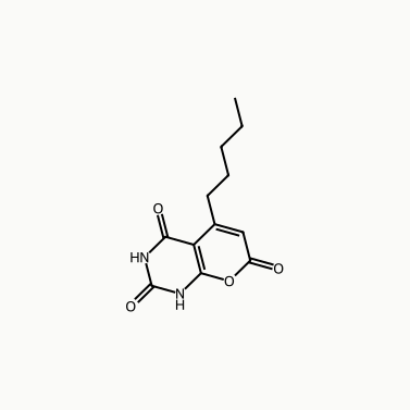 CCCCCc1cc(=O)oc2[nH]c(=O)[nH]c(=O)c12